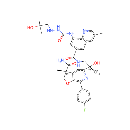 Cc1cnc2c(NC(=O)NNCC(C)(C)O)cc(C(=O)NC[C@](O)(c3cc4c(c(-c5ccc(F)cc5)n3)OC[C@]4(C)C(N)=O)C(F)(F)F)cc2c1